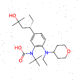 CC[C@@H](CC(C)(C)O)c1ccc(N(CC)C2CCOCC2)c(N(C(=O)O)C(C)(C)C)c1